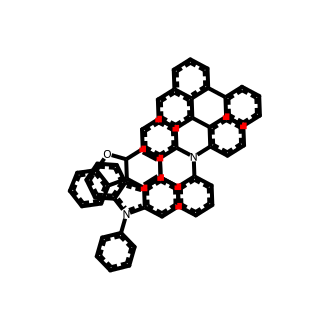 C1=CC2Oc3ccccc3C2C=C1c1ccccc1N(c1ccccc1-c1cccc2cccc(-c3ccccc3)c12)c1ccccc1-c1cccc2c1c1ccccc1n2-c1ccccc1